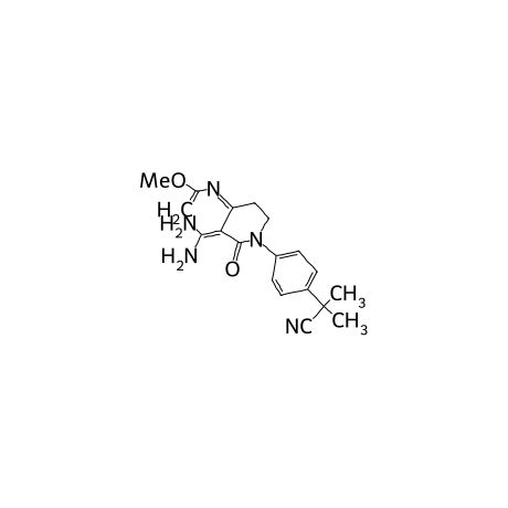 C=C(/N=C1/CCN(c2ccc(C(C)(C)C#N)cc2)C(=O)C1=C(N)N)OC